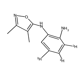 [2H]c1cc(Nc2onc(C)c2C)c(N)c([2H])c1[2H]